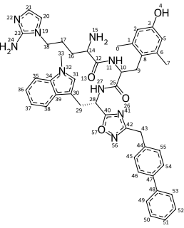 Cc1cc(O)cc(C)c1CC(NC(=O)C(N)CCCn1ccnc1N)C(=O)N[C@@H](Cc1cn(C)c2ccccc12)c1nc(Cc2ccc(-c3ccccc3)cc2)no1